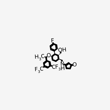 C[C@@H](O[C@H]1CC[C@H](CNC2=CC(=O)CC2)[C@@H](CO)[C@@H]1c1ccc(F)cc1)c1cc(C(F)(F)F)cc(C(F)(F)F)c1